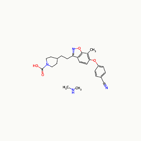 CNC.Cc1c(Oc2ccc(C#N)cc2)ccc2c(CCC3CCN(C(=O)O)CC3)noc12